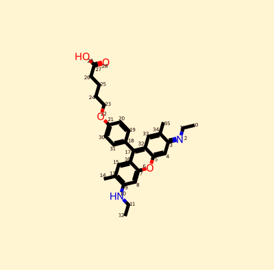 CC/N=c1/cc2oc3cc(NCC)c(C)cc3c(-c3ccc(OCCCCC(=O)O)cc3)c-2cc1C